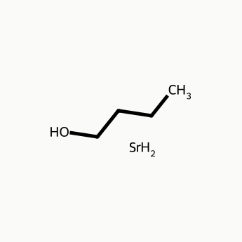 CCCCO.[SrH2]